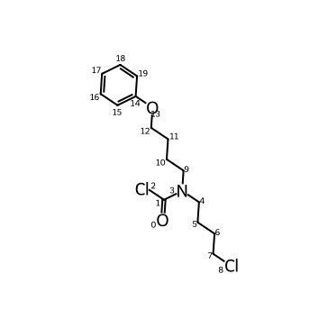 O=C(Cl)N(CCCCCl)CCCCOc1ccccc1